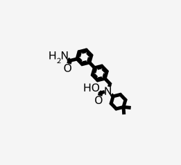 CC1(C)CCC(N(Cc2ccc(-c3cccc(C(N)=O)c3)cc2)C(=O)O)CC1